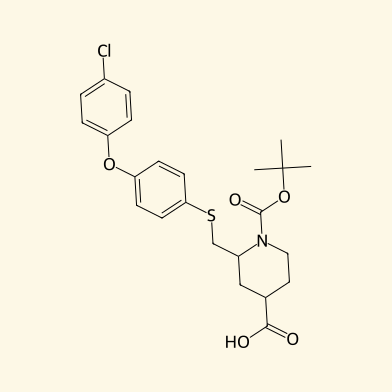 CC(C)(C)OC(=O)N1CCC(C(=O)O)CC1CSc1ccc(Oc2ccc(Cl)cc2)cc1